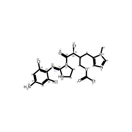 CCC(=O)OCC(Cc1cncn1C)[C@H](CC)C(=O)N1CCN/C1=N\c1c(Cl)cc(N)cc1Cl